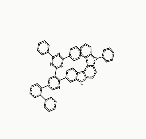 c1ccc(-c2nc(-c3ccccc3)nc(-c3cc(-c4ccccc4-c4ccccc4)cnc3-c3ccc4c(c3)oc3ccc5c(c6ccccc6n5-c5ccccc5)c34)n2)cc1